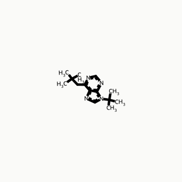 CC(C)(C)Cc1ncnc2c1ncn2C(C)(C)C